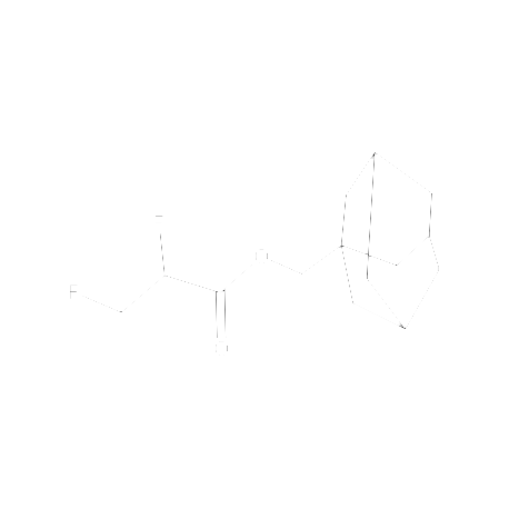 O=C(OCC12CC3CC(CC(C3)C1)C2)C(F)CF